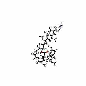 C/C=C/C[C@@H](C)[C@@H](O)C(C(N)=O)N(C)C(=O)[C@H](C(C)C)N(C)C(=O)[C@H](CC(C)C)N(C)C(=O)[C@H](CC(C)C)N(C)C(=O)[C@@H](C)NC(=O)[C@H](C)NC(=O)[C@H](CC(C)C)N(C)C(=O)[C@@H](NC(=O)[C@H](CC(C)C)N(C)C(=O)CN(C)C(=O)CCC)C(C)C